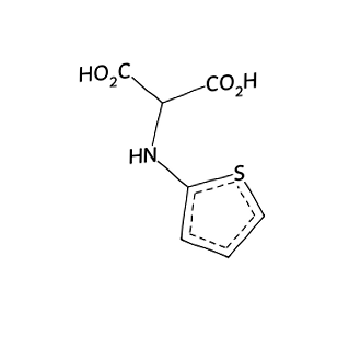 O=C(O)C(Nc1cccs1)C(=O)O